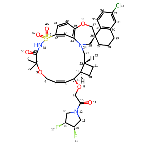 CC1(C)OCC=C[C@H](OCC(=O)N2C[C@@H](F)[C@@H](F)C2)[C@@H]2CC[C@H]2CN2C[C@@]3(CCCc4cc(Cl)ccc43)COc3ccc(cc32)S(=O)(=O)NC1=O